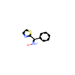 [O-][NH+]=C(c1ccccc1)c1nccs1